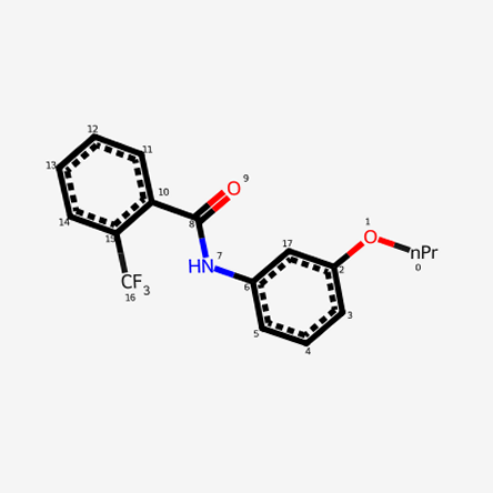 CCCOc1cccc(NC(=O)c2ccccc2C(F)(F)F)c1